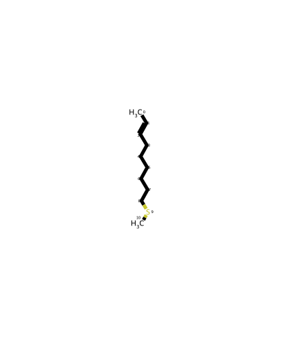 C/C=C/CCCCCCSC